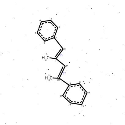 CC(=C\c1ccccc1)/C=C(\C)c1ccccc1